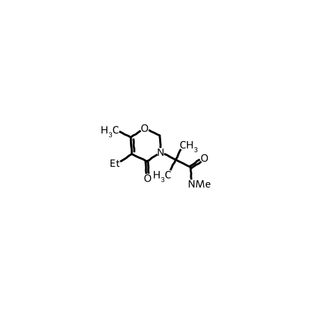 CCC1=C(C)OCN(C(C)(C)C(=O)NC)C1=O